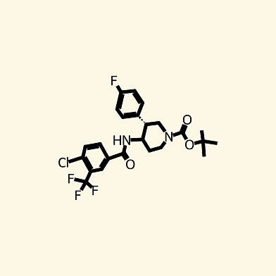 CC(C)(C)OC(=O)N1CCC(NC(=O)c2ccc(Cl)c(C(F)(F)F)c2)[C@H](c2ccc(F)cc2)C1